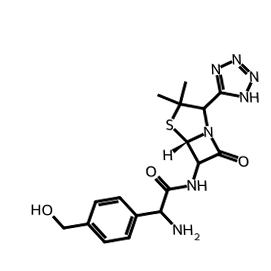 CC1(C)S[C@H]2C(NC(=O)C(N)c3ccc(CO)cc3)C(=O)N2C1c1nnn[nH]1